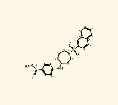 O=C(NO)c1ccc(NC2CCCN(S(=O)(=O)c3ccc4ccccc4c3)CC2)nc1